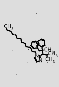 CCCCCCCCCCCCCn1ccnc1C(C(C)C)C(C)(Cc1ccccc1)c1ccccc1